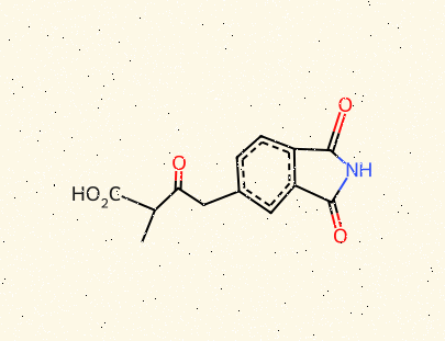 CC(C(=O)O)C(=O)Cc1ccc2c(c1)C(=O)NC2=O